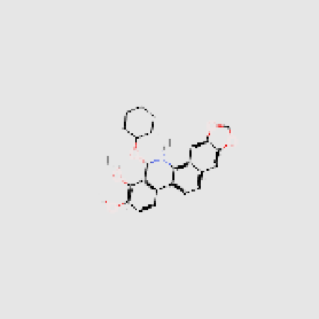 COc1ccc2c(c1OC)C(OC1CCCCC1)N(C)c1c-2ccc2cc3c(cc12)OCO3